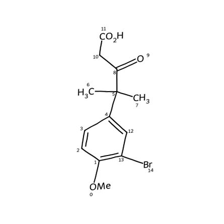 COc1ccc(C(C)(C)C(=O)CC(=O)O)cc1Br